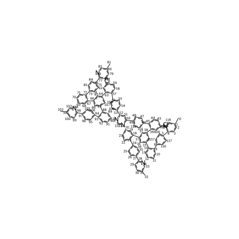 Cc1ccc(-c2ccc(-c3ccccc3-c3cc(-c4ccccc4-c4ccc(-c5ccc(C)cn5)cc4)cc(-c4cc(Cl)ccc4-c4ccc(-c5cc(-c6ccc(-c7ccc(Cl)cc7-c7cc(-c8ccccc8-c8ccc(-c9ccc(C)cn9)cc8)cc(-c8ccccc8-c8ccc(-c9ccc(C)cn9)cc8)c7)cc6)ncn5)cc4)c3)cc2)nc1